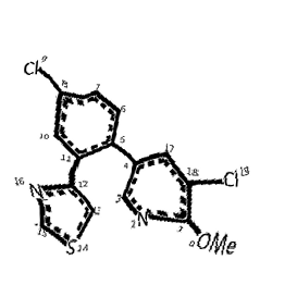 COc1ncc(-c2ccc(Cl)cc2-c2cs[c]n2)cc1Cl